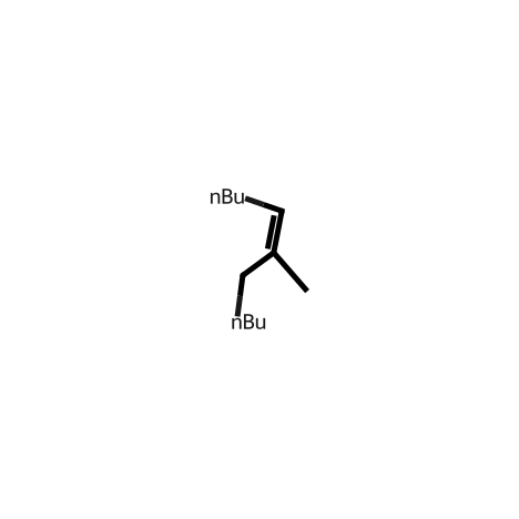 CCCCC=C(C)CCCCC